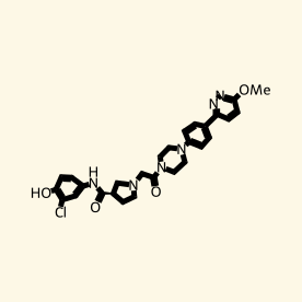 COc1ccc(-c2ccc(N3CCN(C(=O)CN4CC[C@@H](C(=O)Nc5ccc(O)c(Cl)c5)C4)CC3)cc2)nn1